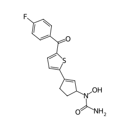 NC(=O)N(O)C1C=C(c2ccc(C(=O)c3ccc(F)cc3)s2)CC1